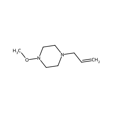 C=CCN1CCN(OC)CC1